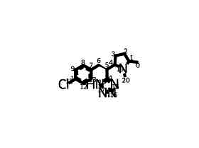 CC1CCC([C@H](Cc2ccc(Cl)cc2)c2nnn[nH]2)N1C